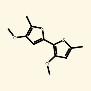 COc1cc(-c2sc(C)cc2OC)sc1C